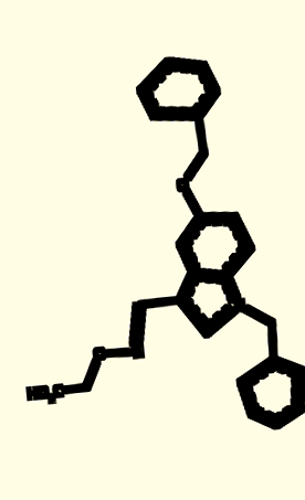 O=C(O)CO/N=C/c1cn(Cc2ccccc2)c2ccc(OCc3ccccc3)cc12